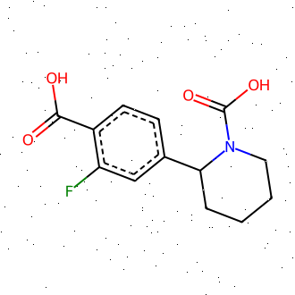 O=C(O)c1ccc(C2CCCCN2C(=O)O)cc1F